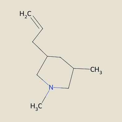 C=CCC1CC(C)CN(C)C1